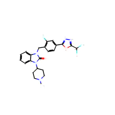 CN1CCC(n2c(=O)n(Cc3ccc(-c4nnc(C(F)F)o4)cc3F)c3ccccc32)CC1